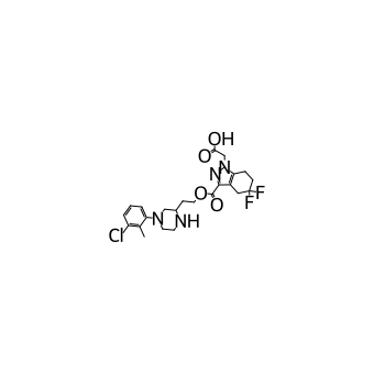 Cc1c(Cl)cccc1N1CCNC(CCOC(=O)c2nn(CC(=O)O)c3c2CC(F)(F)CC3)C1